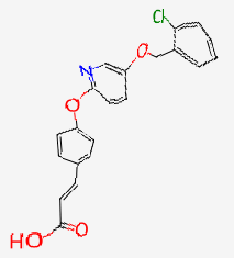 O=C(O)C=Cc1ccc(Oc2ccc(OCc3ccccc3Cl)cn2)cc1